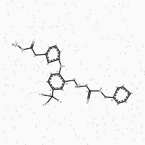 COC(=O)Cc1cccc(Oc2ccc(C(F)(F)F)cc2CNCC(=O)OCc2ccccc2)c1